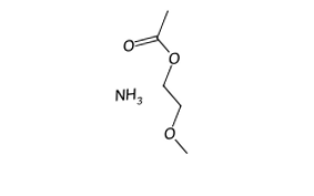 COCCOC(C)=O.N